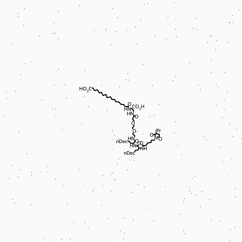 CCCCCCCCCCCCC(NC(=O)CCCCCN1C(=O)CC(C(C)C)C1=O)C(=O)NC(CCCCCCCCCCCC)C(=O)NCCOCCOCCC(=O)NCC(NC(=O)CCCCCCCCCCCCCCCCC(=O)O)C(=O)O